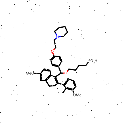 COc1ccc2c(c1)CCC(c1cccc(OC)c1C)=C2C(OCCCCS(=O)(=O)O)c1ccc(OCCN2CCCCC2)cc1